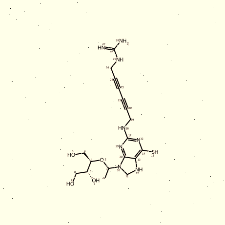 CC(O[C@H](CO)[C@H](O)CO)N1CNc2c(S)nc(NCC#CC#CCNC(=N)N)nc21